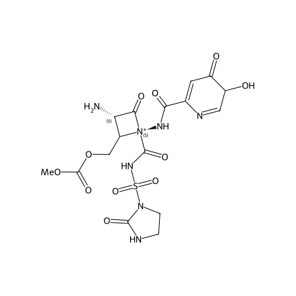 COC(=O)OCC1[C@H](N)C(=O)[N@+]1(NC(=O)C1=CC(=O)C(O)C=N1)C(=O)NS(=O)(=O)N1CCNC1=O